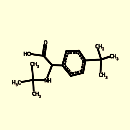 CC(C)(C)NC(C(=O)O)c1ccc(C(C)(C)C)cc1